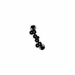 CC1(C)c2cc(-c3ccc(B4OC(C)(C)C(C)(C)O4)c4ccccc34)ccc2-c2ccc(-c3ccc(B4OC(C)(C)C(C)(C)O4)c4ccccc34)cc21